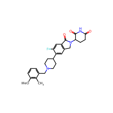 COc1cccc(CN2CCC(c3cc4c(cc3F)C(=O)N(C3CCC(=O)NC3=O)C4)CC2)c1C